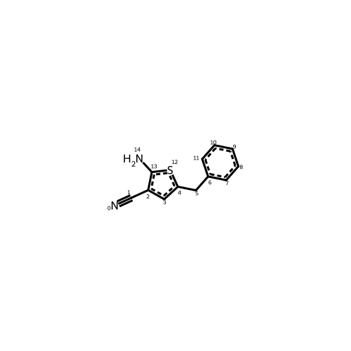 N#Cc1cc(Cc2ccccc2)sc1N